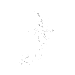 CC#CC(=O)N1CCCC[C@H]1C1N(C)C(c2ccc(C(=O)Nc3cc(-c4ccc(Cl)cc4)ccn3)cc2)=C(C(N)=O)N1N